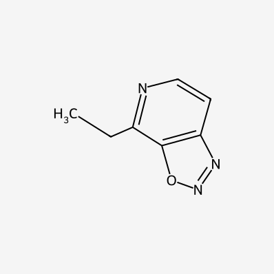 CCc1nccc2nnoc12